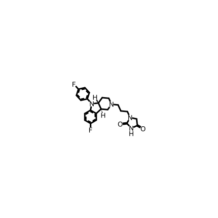 O=C1CN(CCCN2CC[C@@H]3[C@@H](C2)c2cc(F)ccc2N3c2ccc(F)cc2)C(=O)N1